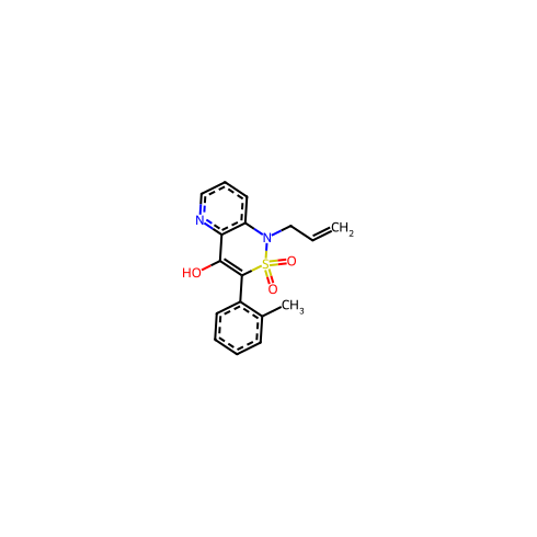 C=CCN1c2cccnc2C(O)=C(c2ccccc2C)S1(=O)=O